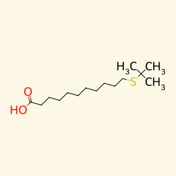 CC(C)(C)SCCCCCCCCCCC(=O)O